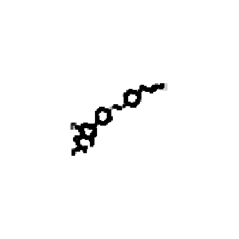 CC/C=C/C[C@H]1CC[C@H](CC[C@H]2CC[C@H](c3cc(F)c(OC(F)F)c(F)c3)CC2)CC1